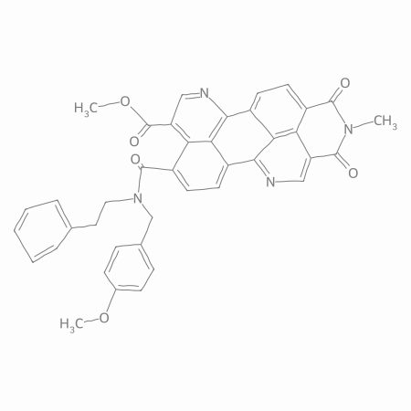 COC(=O)c1cnc2c3ccc4c5c(cnc(c6ccc(C(=O)N(CCc7ccccc7)Cc7ccc(OC)cc7)c1c62)c53)C(=O)N(C)C4=O